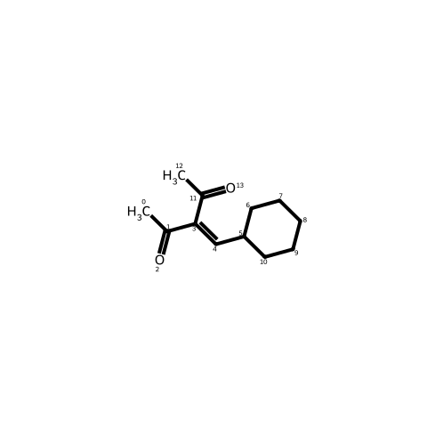 CC(=O)C(=CC1CCCCC1)C(C)=O